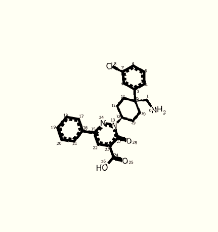 NC[C@]1(c2cccc(Cl)c2)CC[C@H](n2nc(-c3ccccc3)cc(C(=O)O)c2=O)CC1